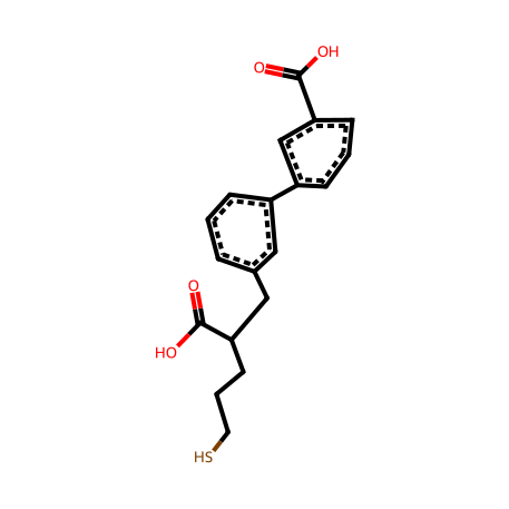 O=C(O)c1cccc(-c2cccc(CC(CCCS)C(=O)O)c2)c1